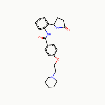 O=C1CCC(c2ccccc2NC(=O)c2ccc(OCCN3CCCCC3)cc2)N1